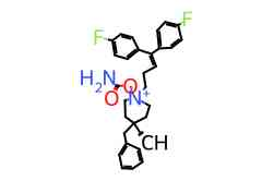 C#CC1(Cc2ccccc2)CC[N+](CCC=C(c2ccc(F)cc2)c2ccc(F)cc2)(OC(N)=O)CC1